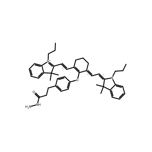 CCCN1/C(=C/C=C2\CCCC(/C=C/C3=[N+](CCC)c4ccccc4C3(C)C)=C2Oc2ccc(CCC(=O)NN)cc2)C(C)(C)c2ccccc21